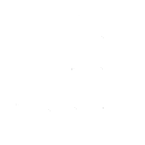 CCc1ccc(-n2c3ccccc3c3cc(N(c4cccc5c4CCCC5)c4cc(C(C)C)c5ccc6c(N(c7cccc8c7CCCC8)c7cccc8c7c7ccccc7n8-c7ccc(CC)cc7)cc(C(C)C)c7ccc4c5c76)ccc32)cc1